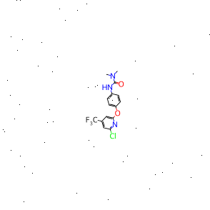 CN(C)C(=O)Nc1ccc(Oc2cc(C(F)(F)F)cc(Cl)n2)cc1